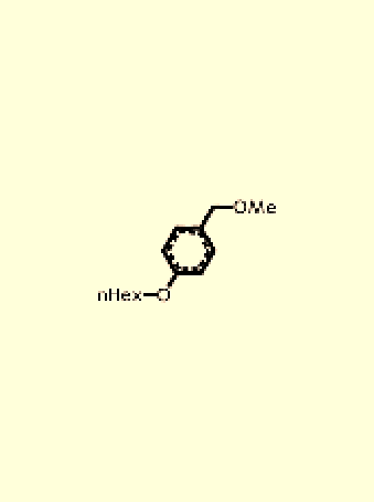 CCCCCCOc1ccc(COC)cc1